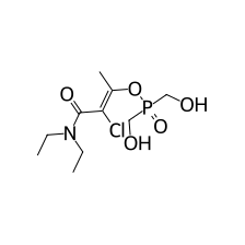 CCN(CC)C(=O)/C(Cl)=C(\C)OP(=O)(CO)CO